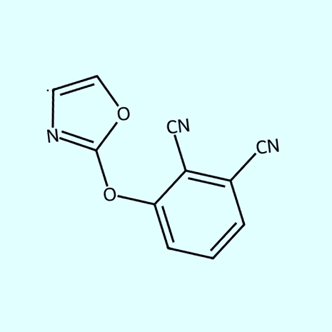 N#Cc1cccc(Oc2n[c]co2)c1C#N